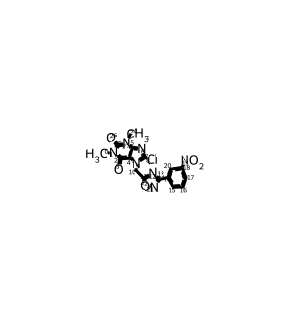 Cn1c(=O)c2c(nc(Cl)n2Cc2nc(-c3cccc([N+](=O)[O-])c3)no2)n(C)c1=O